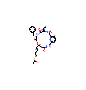 C/C=C1\NC(=O)c2nc(ccc2F)CNC(=O)C[C@@H](/C=C/CCSC(C)=O)OC(O)[C@H](Cc2ccccc2)NC1=O